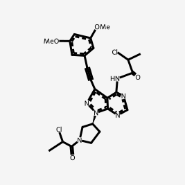 COc1cc(C#Cc2nn([C@H]3CCN(C(=O)C(C)Cl)C3)c3ncnc(NC(=O)C(C)Cl)c23)cc(OC)c1